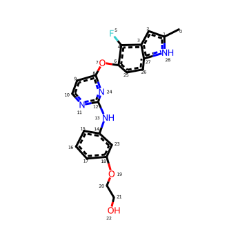 Cc1cc2c(F)c(Oc3ccnc(Nc4cccc(OCCO)c4)n3)ccc2[nH]1